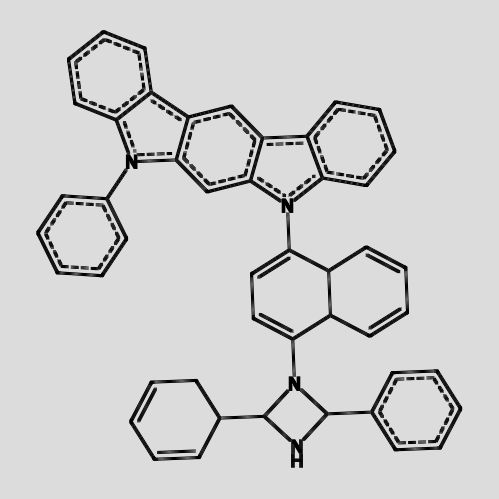 C1=CCC(C2NC(c3ccccc3)N2C2=CC=C(n3c4ccccc4c4cc5c6ccccc6n(-c6ccccc6)c5cc43)C3C=CC=CC23)C=C1